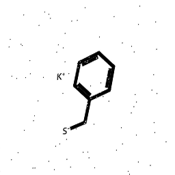 [K+].[S-]Cc1ccccc1